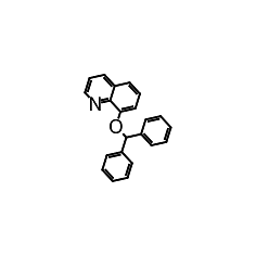 c1ccc(C(Oc2cccc3cccnc23)c2ccccc2)cc1